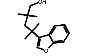 CC(C)(CO)CC(C)(C)c1coc2ccccc12